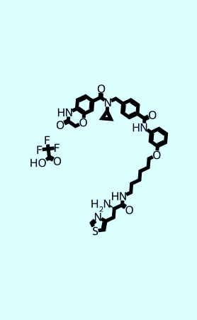 N[C@@H](Cc1cscn1)C(=O)NCCCCCCOc1cccc(NC(=O)c2ccc(CN(C(=O)c3ccc4c(c3)OCC(=O)N4)C3CC3)cc2)c1.O=C(O)C(F)(F)F